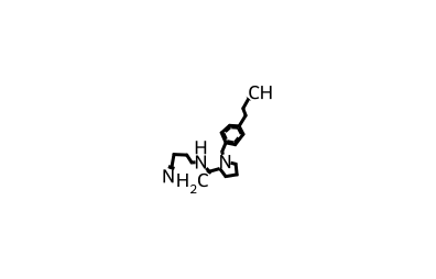 C#CCCc1ccc(CN2CCCC2C(=C)NCCCC#N)cc1